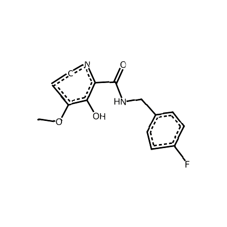 COc1ccnc(C(=O)NCc2ccc(F)cc2)c1O